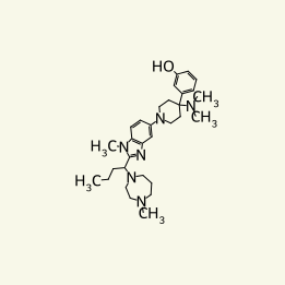 CCCC(c1nc2cc(N3CCC(c4cccc(O)c4)(N(C)C)CC3)ccc2n1C)N1CCCN(C)CC1